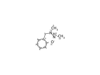 CN(Cc1ccccc1)[NH+](C)[O-]